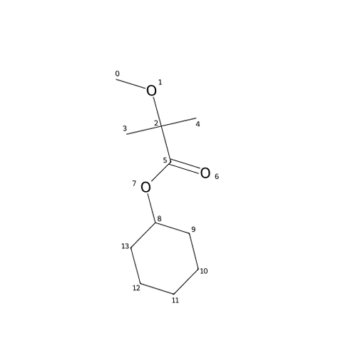 COC(C)(C)C(=O)OC1CCCCC1